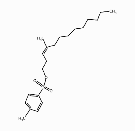 CCCCCCCCCC(C)=CCCOS(=O)(=O)c1ccc(C)cc1